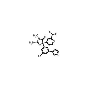 CN1C(=O)C(c2cc(Cl)cc(-c3ccsc3)c2)(c2ccnc(C(F)F)c2)N=C1N